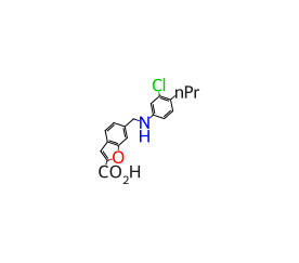 CCCc1ccc(NCc2ccc3cc(C(=O)O)oc3c2)cc1Cl